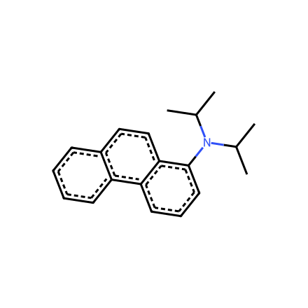 CC(C)N(c1cccc2c1ccc1ccccc12)C(C)C